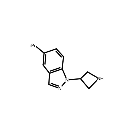 CC(C)c1ccc2c(cnn2C2CNC2)c1